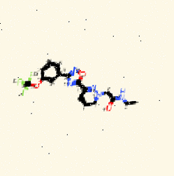 CCNC(=O)CN1CC=CC(c2nc(-c3cccc(OC(F)(F)F)c3)no2)=N1